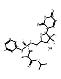 CC(C)OC(=O)[C@@H](C)N[P@](=O)(OCC1OC(n2ccc(=O)[nH]c2=O)[C@](C)(F)[C@@H]1O)Oc1ccccc1